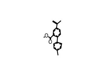 C=C(C)c1ccc(-c2ccc(C)cc2)c(C(=O)OC)c1